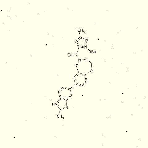 Cc1cc(C(=O)N2CCOc3ccc(-c4ccc5[nH]c(C)nc5c4)cc3C2)n(C(C)(C)C)n1